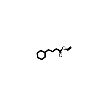 C=COC(=O)CCCC1CCCCC1